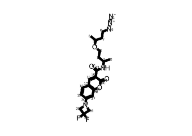 CC(CCOC(C)CCN=[N+]=[N-])NC(=O)c1cc2ccc(N3CC(F)(F)C3)cc2oc1=O